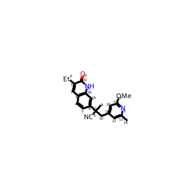 CCc1cc2ccc(C(C)(C#N)Cc3cc(C)nc(OC)c3)cc2[nH]c1=O